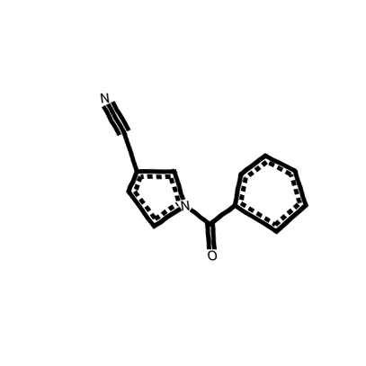 N#Cc1ccn(C(=O)c2ccccc2)c1